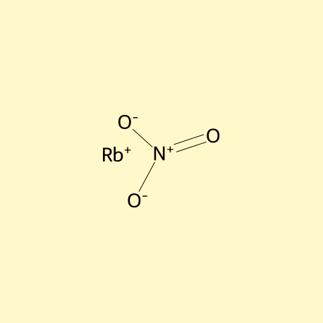 O=[N+]([O-])[O-].[Rb+]